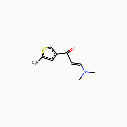 CN(C)/C=C/C(=O)c1csc([N+](=O)[O-])c1